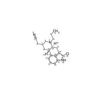 CCCN1CC(CC#N)C[C@H]2c3cccc4[nH]c(Cl)c(c34)C[C@@H]21